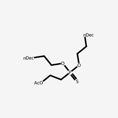 CCCCCCCCCCCCOP(=S)(CCOC(C)=O)OCCCCCCCCCCCC